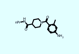 [CH2]CCNC(=O)C1CCN(C(=O)c2ccc(N)cc2C)CC1